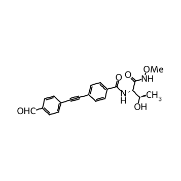 CONC(=O)[C@@H](NC(=O)c1ccc(C#Cc2ccc(C=O)cc2)cc1)[C@@H](C)O